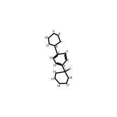 CC1(c2ccc(C3CCCCC3)cc2)CCCCC1